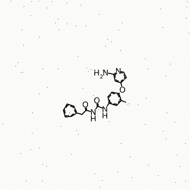 Cc1cc(NC(=O)NC(=O)Cc2ccccc2)ccc1Oc1ccnc(N)c1